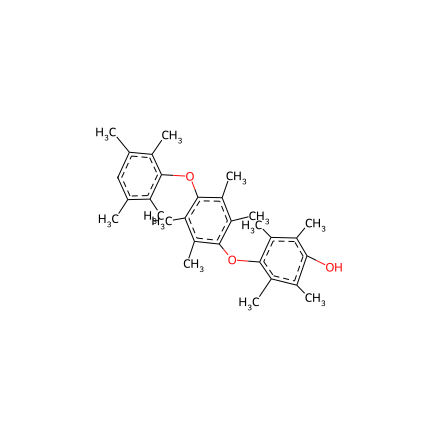 Cc1cc(C)c(C)c(Oc2c(C)c(C)c(Oc3c(C)c(C)c(O)c(C)c3C)c(C)c2C)c1C